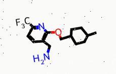 CC1CCC(COc2nc(C(F)(F)F)ccc2CN)CC1